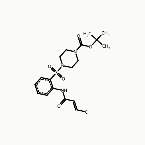 CC(C)(C)OC(=O)N1CCN(S(=O)(=O)c2ccccc2NC(=O)C=CCl)CC1